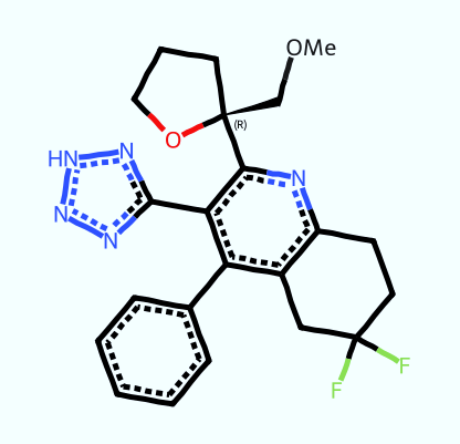 COC[C@]1(c2nc3c(c(-c4ccccc4)c2-c2nn[nH]n2)CC(F)(F)CC3)CCCO1